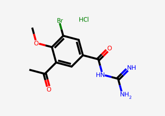 COc1c(Br)cc(C(=O)NC(=N)N)cc1C(C)=O.Cl